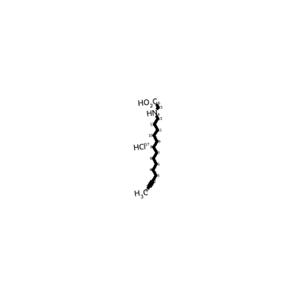 CC#CCCCCCCCCCCCNCC(=O)O.Cl